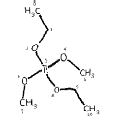 CC[O][Ti]([O]C)([O]C)[O]CC